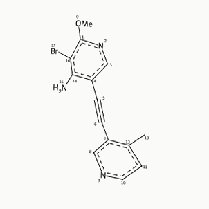 COc1ncc(C#Cc2cnccc2C)c(N)c1Br